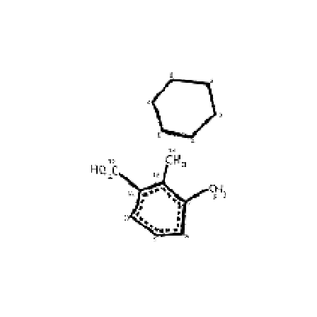 C1CCCCC1.Cc1cccc(C(=O)O)c1C